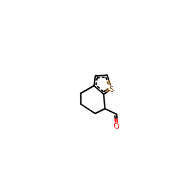 O=CC1CCCc2ccsc21